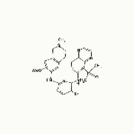 COc1cc2c(cc1Nc1ncc(Br)c(Nc3ccc4nccnc4c3P(C)(C)=O)n1)CCN(C)C2